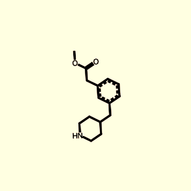 COC(=O)Cc1cccc(CC2CCNCC2)c1